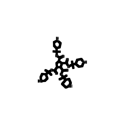 CC(C)(OC(=O)C1CC(C(=O)OC(C)(C)C2CCNCC2)C(C(=O)OC(C)(C)C2CCNCC2)C1C(=O)OC(C)(C)C1CCNCC1)C1CCNCC1